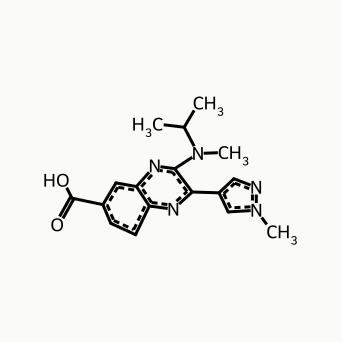 CC(C)N(C)c1nc2cc(C(=O)O)ccc2nc1-c1cnn(C)c1